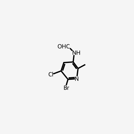 Cc1nc(Br)c(Cl)cc1NC=O